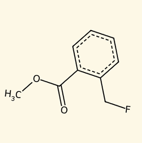 COC(=O)c1ccccc1CF